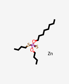 CCCCCCCCOP(=S)(OCCCC)SCCCC.[Zn]